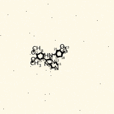 COc1ccc(-c2nc3cnccn3c2Nc2ccc3c(c2)OCO3)cc1OC